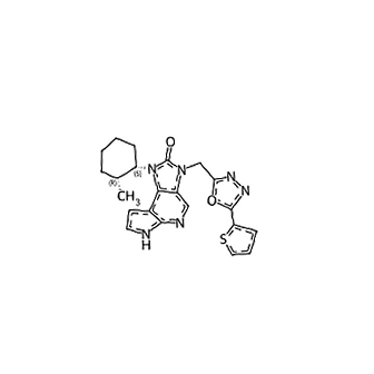 C[C@@H]1CCCC[C@@H]1n1c(=O)n(Cc2nnc(-c3cccs3)o2)c2cnc3[nH]ccc3c21